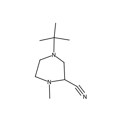 CN1CCN(C(C)(C)C)CC1C#N